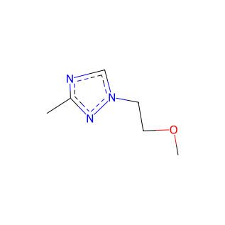 COCCn1cnc(C)n1